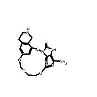 Nc1nc2nc3c1[nH]c(=O)n3Cc1cc(cc3c1CNCC3)OCCCCO2